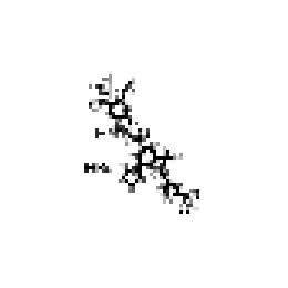 Br.CCOc1cc2c(cc1C(=O)NC)C(=N)N(CC(=O)c1cc(N3CCCC3)c(OCc3cc(C(=O)O)no3)c(C(C)(C)C)c1)C2